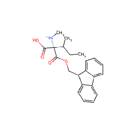 CCC(C)[C@](NC)(C(=O)O)C(=O)OCC1c2ccccc2-c2ccccc21